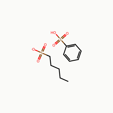 CCCCCS([O])(=O)=O.O=S(=O)(O)c1ccccc1